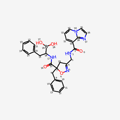 O=C(NCC1=NOC(Cc2ccccc2)(C(=O)NC(Cc2ccccc2)B(O)O)C1)c1cccn2ccnc12